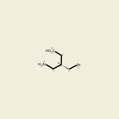 CC(C)C[C@H](C[AsH2])CC(=O)O